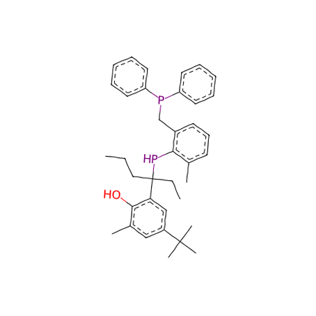 CCCC(CC)(Pc1c(C)cccc1CP(c1ccccc1)c1ccccc1)c1cc(C(C)(C)C)cc(C)c1O